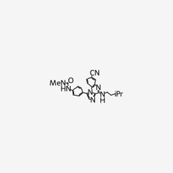 CNC(=O)Nc1ccc(-c2cnc3c(NCCC(C)C)nc4cc(C#N)ccc4n23)cc1